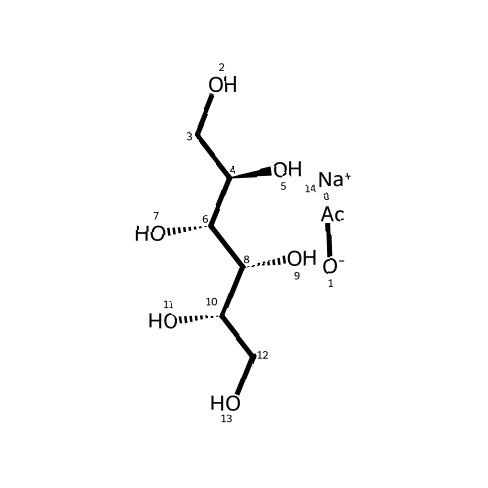 CC(=O)[O-].OC[C@@H](O)[C@@H](O)[C@H](O)[C@@H](O)CO.[Na+]